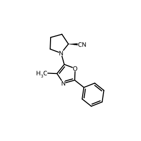 Cc1nc(-c2ccccc2)oc1N1CCC[C@H]1C#N